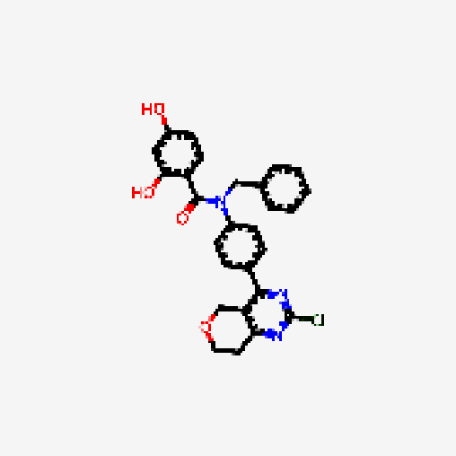 O=C(c1ccc(O)cc1O)N(Cc1ccccc1)c1ccc(-c2nc(Cl)nc3c2COCC3)cc1